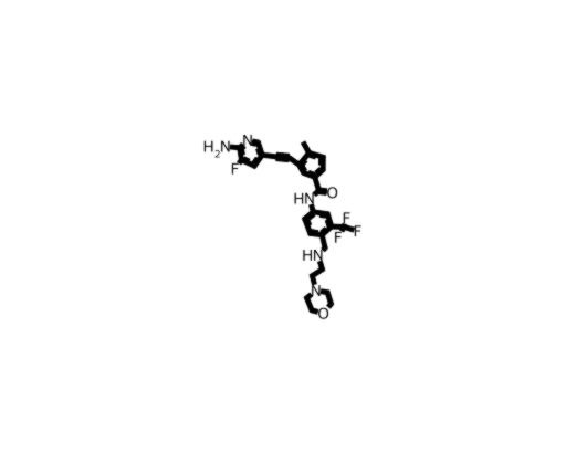 Cc1ccc(C(=O)Nc2ccc(CNCCN3CCOCC3)c(C(F)(F)F)c2)cc1C#Cc1cnc(N)c(F)c1